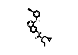 C#Cc1cccc(Nc2ncnc3ccc(NC(=O)N(CCC)CC4CC4)cc23)c1